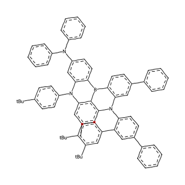 Cc1cc2c3c(c1)N(c1ccc(-c4ccccc4)cc1-c1ccc(C(C)(C)C)c(C(C)(C)C)c1)c1cc(-c4ccccc4)ccc1B3c1ccc(N(c3ccccc3)c3ccccc3)cc1N2c1ccc(C(C)(C)C)cc1